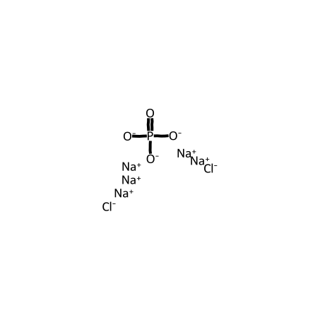 O=P([O-])([O-])[O-].[Cl-].[Cl-].[Na+].[Na+].[Na+].[Na+].[Na+]